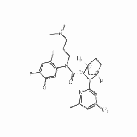 Cc1cc(C(F)(F)F)cc(N2[C@@H]3CC[C@@H](C3)[C@H]2C(=O)N(CCCN(C)C)c2cc(Cl)c(F)cc2F)n1